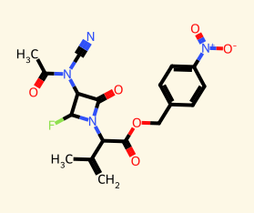 C=C(C)C(C(=O)OCc1ccc([N+](=O)[O-])cc1)N1C(=O)C(N(C#N)C(C)=O)C1F